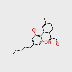 C=C(C=O)[C@@H]1CCC(C)=CC1c1c(O)cc(CCCCC)cc1O